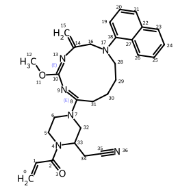 C=CC(=O)N1CCN(/C2=N/C(OC)=N\C(=C)CN(c3cccc4ccccc34)CCCC2)CC1CC#N